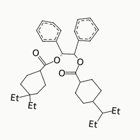 CCC(CC)C1CCC(C(=O)OC(c2ccccc2)[C@H](OC(=O)C2CCC(CC)(CC)CC2)c2ccccc2)CC1